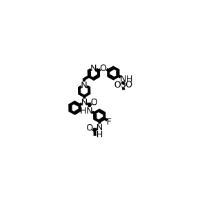 CC(=O)Nc1cc(NC(=O)N(c2ccccc2)C2CCN(Cc3ccc(Oc4ccc(NS(C)(=O)=O)cc4)nc3)CC2)ccc1F